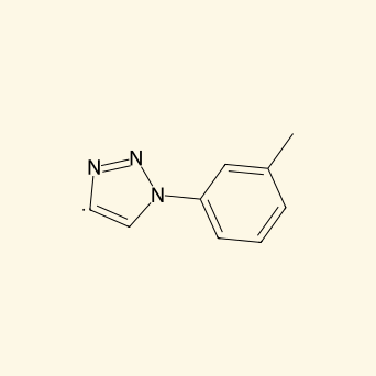 Cc1cccc(-n2c[c]nn2)c1